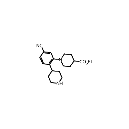 CCOC(=O)C1CCN(c2cc(C#N)ccc2C2CCNCC2)CC1